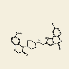 COc1cnc2c(c1)N([C@H]1CC[C@H](NCc3cc4c(=O)oc5ccc(F)cc5c4[nH]3)CC1)C(=O)CO2